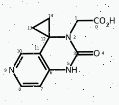 O=C(O)CN1C(=O)Nc2ccncc2C12CC2